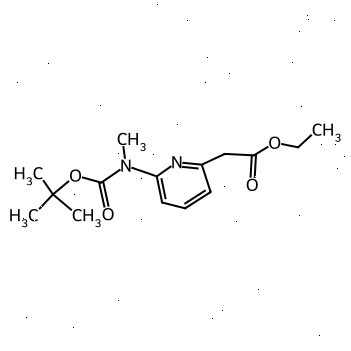 CCOC(=O)Cc1cccc(N(C)C(=O)OC(C)(C)C)n1